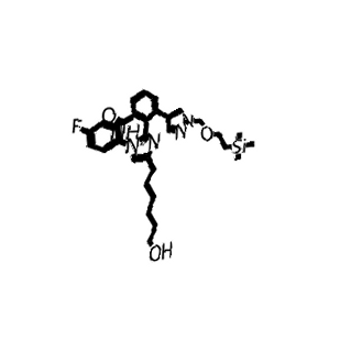 C[Si](C)(C)CCOCn1cc(-c2cccc(C(N)=O)c2-c2nc(CCCCCCO)cn2-c2ccc(F)cc2)cn1